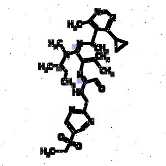 C=C(/N=C(\C(/N=C(\C=O)NCc1ncc(S(=O)(=O)CC)cn1)=C(C)C)N(C)[C@@H](C)CC)c1c(C)ncnc1C1CC1